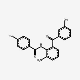 CC(C)(C)c1ccc(C(=O)Nc2c(N)cccc2C(=O)c2cccc(O)c2)cc1